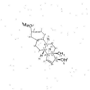 COC1=CCC2=C(CC[C@@H]3[C@@H]2CC[C@]2(C)[C@@H](O)C=C[C@@H]32)C1